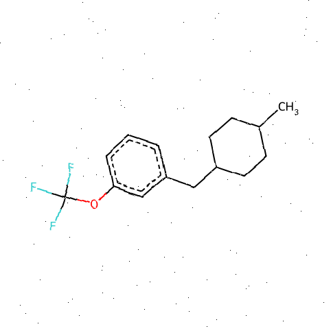 CC1CCC(Cc2cccc(OC(F)(F)F)c2)CC1